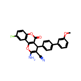 COc1cccc(-c2ccc(C3C(C#N)=C(N)Oc4c3c(=O)oc3ccc(F)cc43)cc2)c1